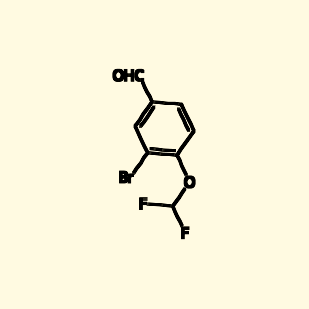 O=Cc1ccc(OC(F)F)c(Br)c1